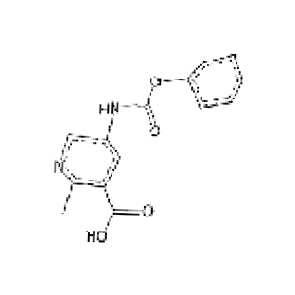 Cc1ncc(NC(=O)Oc2ccccc2)cc1C(=O)O